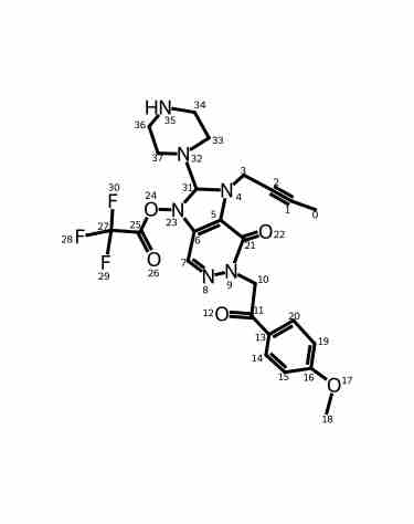 CC#CCN1c2c(cnn(CC(=O)c3ccc(OC)cc3)c2=O)N(OC(=O)C(F)(F)F)C1N1CCNCC1